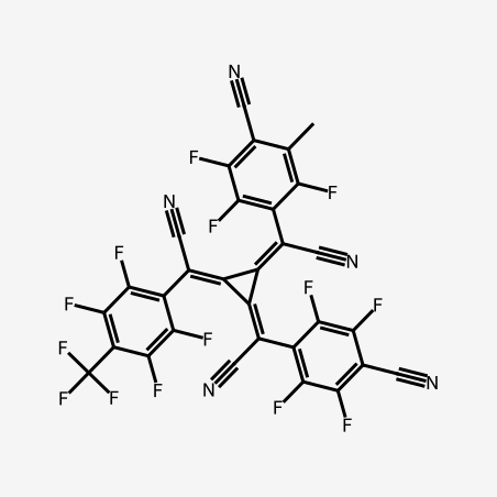 Cc1c(F)c(/C(C#N)=C2/C(=C(C#N)c3c(F)c(F)c(C#N)c(F)c3F)/C2=C(/C#N)c2c(F)c(F)c(C(F)(F)F)c(F)c2F)c(F)c(F)c1C#N